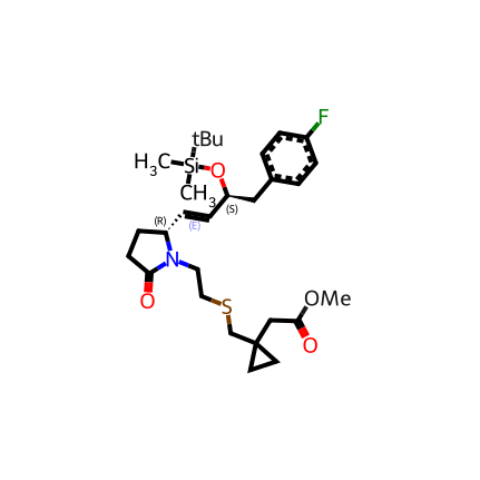 COC(=O)CC1(CSCCN2C(=O)CC[C@@H]2/C=C/[C@H](Cc2ccc(F)cc2)O[Si](C)(C)C(C)(C)C)CC1